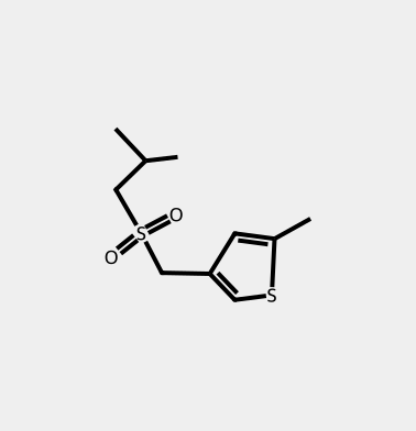 Cc1cc(CS(=O)(=O)CC(C)C)cs1